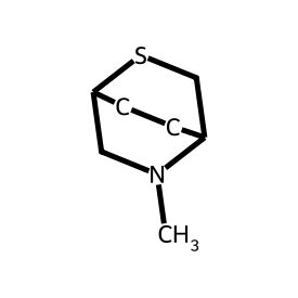 CN1CC2CCC1CS2